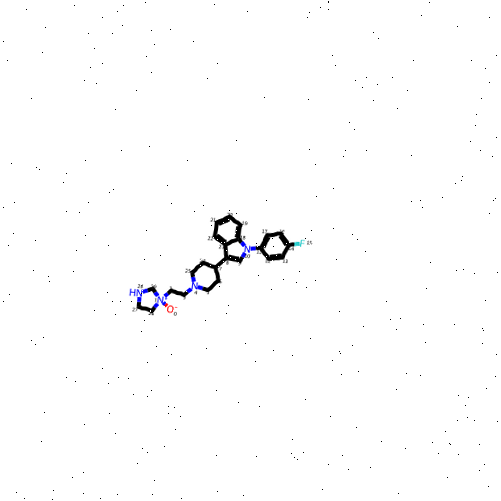 [O-][N+]1(CCN2CCC(c3cn(-c4ccc(F)cc4)c4ccccc34)CC2)CCNC1